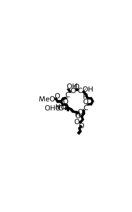 C=CCOC(=O)CC1CC2CC3CCC[C@@H](C[C@@H](O)CC(=O)OC(CO)CC4C/C(=C\C(=O)OC)[C@H](OC=O)C(O)(O4)C(C)(C)/C=C/[C@@H](O1)O2)O3